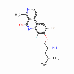 Cc1nccc2c1c(=O)[nH]c1c(F)c(OCC(N)CC(C)C)c(Br)cc12